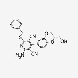 N#Cc1c(N)nc(SCc2ccccc2)c(C#N)c1-c1ccc2c(c1)OCC(CO)O2